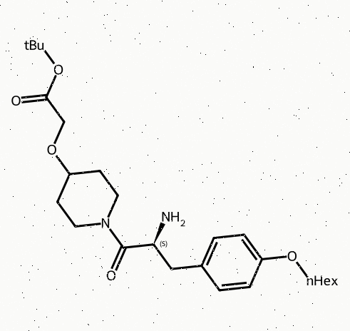 CCCCCCOc1ccc(C[C@H](N)C(=O)N2CCC(OCC(=O)OC(C)(C)C)CC2)cc1